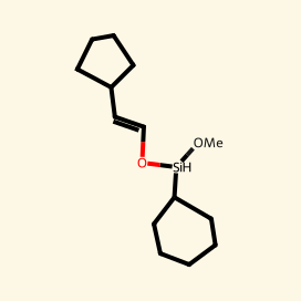 CO[SiH](OC=CC1CCCC1)C1CCCCC1